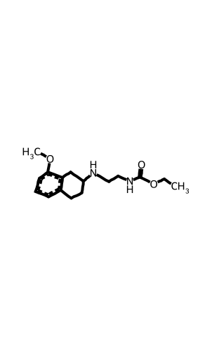 CCOC(=O)NCCNC1CCc2cccc(OC)c2C1